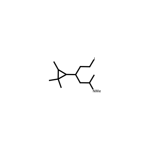 CNC(C)CC(CCI)C1C(C)C1(C)C